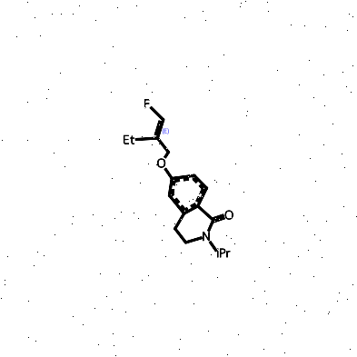 CC/C(=C\F)COc1ccc2c(c1)CCN(C(C)C)C2=O